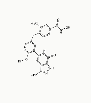 CCCc1n[nH]c2c(=O)[nH]c(-c3cc(Cc4ccc(C(=O)NO)cc4OC)ccc3OCC)nc12